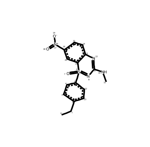 CCc1ccc(S2(=O)=NC(NC)=Nc3ccc([N+](=O)[O-])cc32)cc1